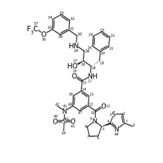 Cc1csc([C@H]2CCCN2C(=O)c2cc(C(=O)N[C@@H](Cc3ccccc3)[C@@H](O)CNCc3cccc(OC(F)(F)F)c3)cc(N(C)S(C)(=O)=O)c2)n1